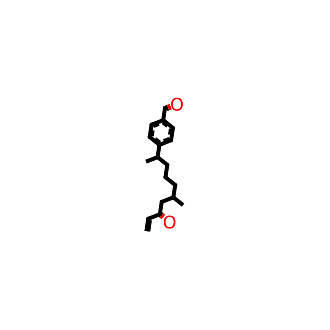 C=CC(=O)CC(C)CCCC(C)c1ccc(C=O)cc1